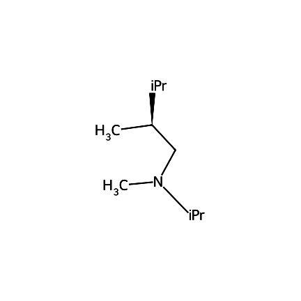 CC(C)[C@H](C)CN(C)C(C)C